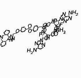 B[P@@]1(=O)OC[C@H]2O[C@@H](n3cnc4c(N)ccnc43)[C@H](F)[C@@H]2O[P@](=O)(SCc2ccc(OC(=O)c3ccc(OCCn4nnc5c4-c4ccccc4N(C)Cc4ccccc4-5)cc3)cc2)OC[C@H]2O[C@@H](n3cnc4c(N)ncnc43)[C@H](F)[C@@H]2O1